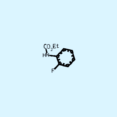 [CH2]COC(=O)Nc1ccccc1F